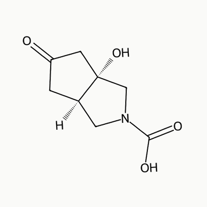 O=C1C[C@@H]2CN(C(=O)O)C[C@]2(O)C1